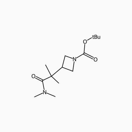 CN(C)C(=O)C(C)(C)C1CN(C(=O)OC(C)(C)C)C1